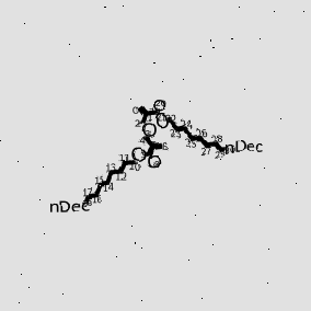 C=C(COCC(=C)C(=O)OCCCCCCCCCCCCCCCCCC)C(=O)OCCCCCCCCCCCCCCCCCC